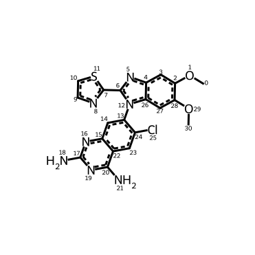 COc1cc2nc(-c3nccs3)n(-c3cc4nc(N)nc(N)c4cc3Cl)c2cc1OC